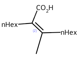 CCCCCC/C(C)=C(/CCCCCC)C(=O)O